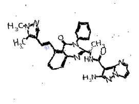 Cc1c(/C=C/c2cccc3nc([C@H](C)NC(=O)c4c(N)nn5cccnc45)n(-c4ccccc4)c(=O)c23)cnn1C